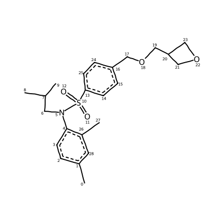 Cc1ccc(N(CC(C)C)S(=O)(=O)c2ccc(COCC3COC3)cc2)c(C)c1